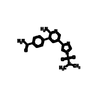 CN(C)S(=O)(=O)n1cnc(-c2cnc(N)c(-c3ccc(C(N)=O)cc3)c2)c1